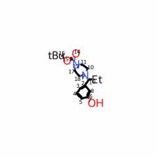 CCC(c1cccc(O)c1)N1CCN(C(=O)OC(C)(C)C)CC1